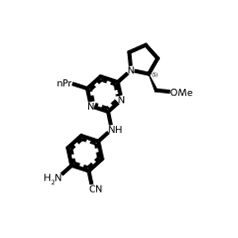 CCCc1cc(N2CCC[C@H]2COC)nc(Nc2ccc(N)c(C#N)c2)n1